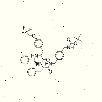 CC(C)(C)OC(=O)NCc1ccc(CNC(=O)[C@H](Cc2ccccc2)NC(=O)C(Cc2ccc(OCC(F)(F)F)cc2)NC(=O)c2ccccc2)cc1